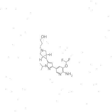 CC(C)n1nc(-c2cnc(N)c(OC(F)F)c2)cc1[C@H]1[C@@H]2CN(CCCO)C[C@@H]21